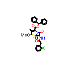 CO[C@H]1S[C@H]2[C@@H](NC(=O)Cc3ccccc3Cl)C(=O)N2C(C(=O)OC(c2ccccc2)c2ccccc2)=C1C